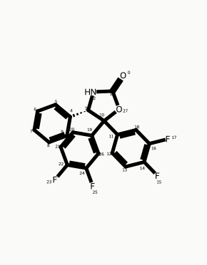 O=C1N[C@@H](c2ccccc2)C(c2ccc(F)c(F)c2)(c2ccc(F)c(F)c2)O1